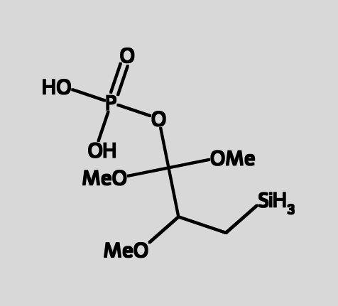 COC(C[SiH3])C(OC)(OC)OP(=O)(O)O